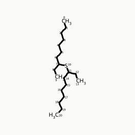 CCCCCCCC(CC)SC(CC)CCCCCCC